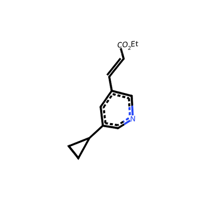 CCOC(=O)/C=C/c1cncc(C2CC2)c1